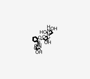 C[C@H](N=[P+]([O-])Oc1ccccc1OC[C@H]1O[C@@H](N2C=CC(O)NC2O)[C@](C)(F)[C@@H]1O)C(=O)O